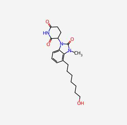 Cn1c(=O)n(C2CCC(=O)NC2=O)c2cccc(CCCCCCCO)c21